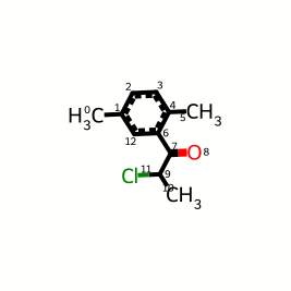 Cc1ccc(C)c(C(=O)C(C)Cl)c1